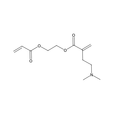 C=CC(=O)OCCOC(=O)C(=C)CCN(C)C